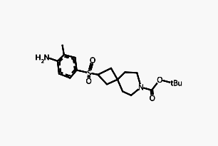 Cc1cc(S(=O)(=O)C2CC3(CCN(C(=O)OC(C)(C)C)CC3)C2)ccc1N